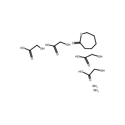 N.N.O=C(O)CO.O=C(O)CO.O=C(O)CO.O=C(O)CO.O=C1CCCCCO1